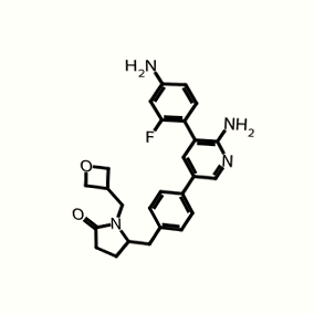 Nc1ccc(-c2cc(-c3ccc(CC4CCC(=O)N4CC4COC4)cc3)cnc2N)c(F)c1